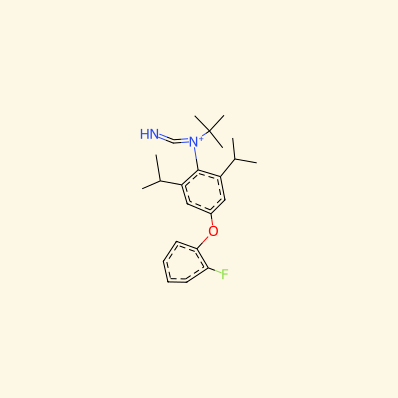 CC(C)c1cc(Oc2ccccc2F)cc(C(C)C)c1[N+](=C=N)C(C)(C)C